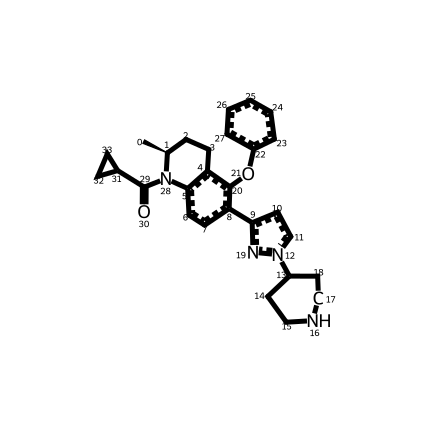 C[C@H]1CCc2c(ccc(-c3ccn(C4CCNCC4)n3)c2Oc2ccccc2)N1C(=O)C1CC1